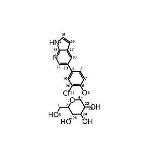 OCC1O[C@H](Oc2ccc(-c3cnc4[nH]ccc4c3)cc2Cl)C(O)C(O)[C@@H]1O